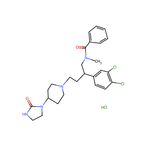 CN(CC(CCN1CCC(N2CCNC2=O)CC1)c1ccc(Cl)c(Cl)c1)C(=O)c1ccccc1.Cl